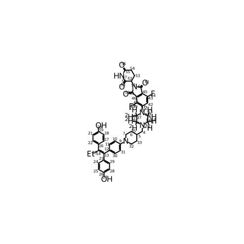 [2H]C1([2H])N(CC2CCN(c3ccc(C(=C(CC)c4ccc(O)cc4)c4ccc(O)cc4)cc3)CC2)C([2H])([2H])C([2H])([2H])N(c2cc(F)c3c(c2F)C(=O)N(C2CCC(=O)NC2=O)C3=O)C1([2H])[2H]